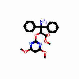 COC(=O)C(Oc1nc(OC)cc(OC)n1)C(N)(c1ccccc1)c1ccccc1